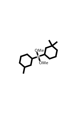 CO[Si](OC)(C1CCCC(C)C1)C1CCCC(C)(C)C1